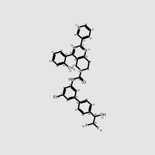 CCc1cc(NC(=O)N2CCc3nc(-c4cccnc4)nc(-c4ccccc4C)c3C2)cc(-c2ccc(C(O)C(F)F)cc2)c1